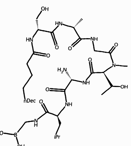 CCCCCCCCCCCCCC(=O)N[C@H](CO)C(=O)N[C@H](C)C(=O)NCC(=O)N(C)[C@H](C(=O)N[C@@H](N)C(=O)N[C@@H](CC(C)C)C(=O)NCB(O)O)C(C)O